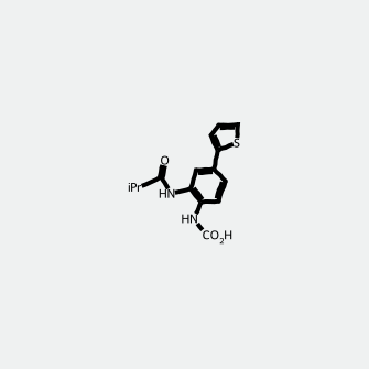 CC(C)C(=O)Nc1cc(-c2cccs2)ccc1NC(=O)O